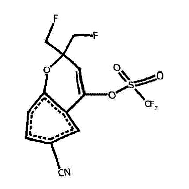 N#Cc1ccc2c(c1)C(OS(=O)(=O)C(F)(F)F)=CC(CF)(CF)O2